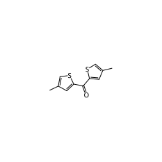 Cc1csc(C(=O)c2cc(C)cs2)c1